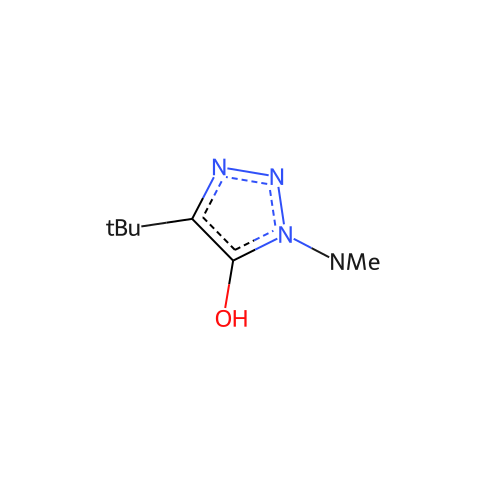 CNn1nnc(C(C)(C)C)c1O